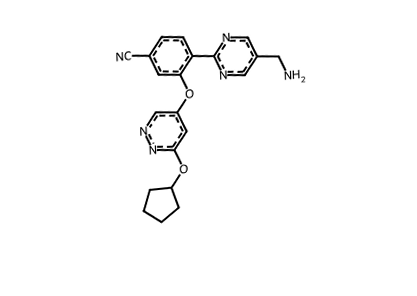 N#Cc1ccc(-c2ncc(CN)cn2)c(Oc2cnnc(OC3CCCC3)c2)c1